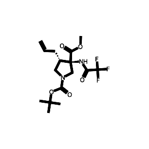 C=CC[C@H]1CN(C(=O)OC(C)(C)C)C[C@@]1(NC(=O)C(F)(F)F)C(=O)OC